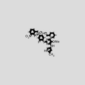 COc1c(Nc2cc(C)[nH]n2)nc(Sc2ccc(S(=O)(=O)Cc3cccc([N+](=O)[O-])c3F)cc2F)nc1N1CCCCC1CO